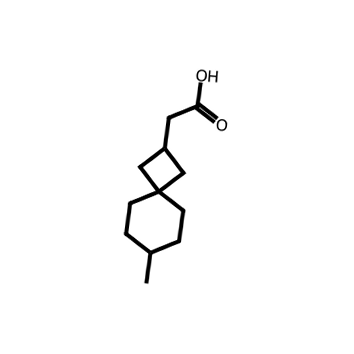 CC1CCC2(CC1)CC(CC(=O)O)C2